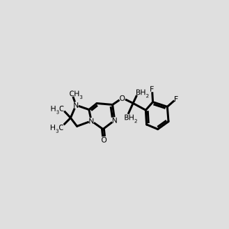 BC(B)(Oc1cc2n(c(=O)n1)CC(C)(C)N2C)c1cccc(F)c1F